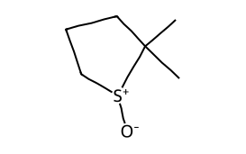 CC1(C)CCC[S+]1[O-]